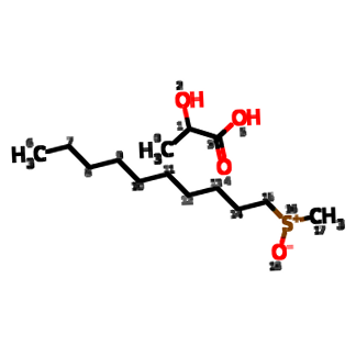 CC(O)C(=O)O.CCCCCCCCCC[S+](C)[O-]